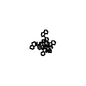 CC1=Cc2c(-c3cccc4ccccc34)ccc(-c3cccc4ccccc34)c2[CH]1[Zr]([CH3])([CH3])(=[SiH2])[CH]1C(C)=Cc2c(-c3cccc4ccccc34)ccc(-c3cccc4ccccc34)c21.Cl.Cl